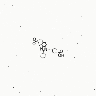 COC(=O)N1CCc2ccc3c(nc(C4CCCCC4)n3CC[C@H]3CC[C@H](C(=O)O)CC3)c2C1